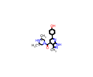 Cc1n[nH]c2nc(-c3ccc(O)cc3)cc(C(=O)N3C[C@@H](C)N[C@@H](C)C3)c12